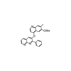 COc1cc2c(Oc3cc4cccnc4nc3-c3ccccc3)ccnc2cc1C